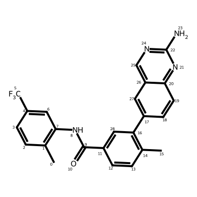 Cc1ccc(C(F)(F)F)cc1NC(=O)c1ccc(C)c(-c2ccc3nc(N)ncc3c2)c1